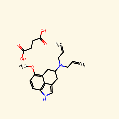 C=CCN(CC=C)C1Cc2c[nH]c3ccc(OC)c(c23)C1.O=C(O)CCC(=O)O